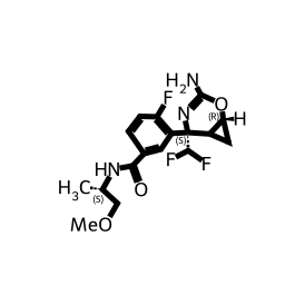 COC[C@H](C)NC(=O)c1ccc(F)c([C@@]2(C(F)F)N=C(N)O[C@@H]3CC32)c1